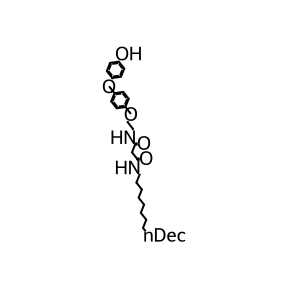 CCCCCCCCCCCCCCCCCCNC(=O)CC(=O)NCCOc1ccc(Oc2ccc(O)cc2)cc1